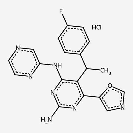 CC(c1ccc(F)cc1)c1c(Nc2cnccn2)nc(N)nc1-c1cnco1.Cl